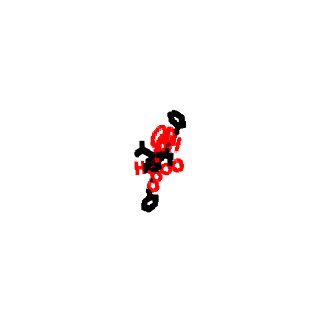 C=C(C)C1=C(C)C2(O)C34OC(=O)CC(C)([C@@]3(OCOCc3ccccc3)CCC(C)C4OCOCc3ccccc3)[C@]2(O)C1O